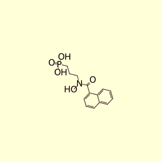 O=C(c1cccc2ccccc12)N(O)CCCP(=O)(O)O